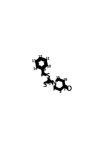 O=C1CCN(C(=S)SCc2ccccc2)CC1